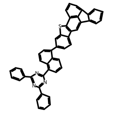 c1ccc(-c2nc(-c3ccccc3)nc(-c3cccc4c(-c5ccc6c(c5)sc5c7cccc8c7c(cc65)-c5ccccc5-8)cccc34)n2)cc1